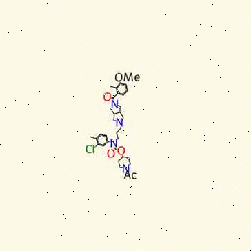 COc1cccc(C(=O)N2CC3CN(CCCN(C(=O)OC4CCN(C(C)=O)CC4)c4ccc(C)c(Cl)c4)CC3C2)c1C